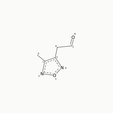 Cc1nonc1C[C]=O